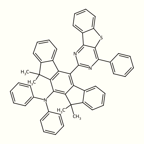 CC1(C)c2ccccc2-c2c(-c3nc(-c4ccccc4)c4sc5ccccc5c4n3)c3c(c(N(c4ccccc4)c4ccccc4)c21)C(C)(C)c1ccccc1-3